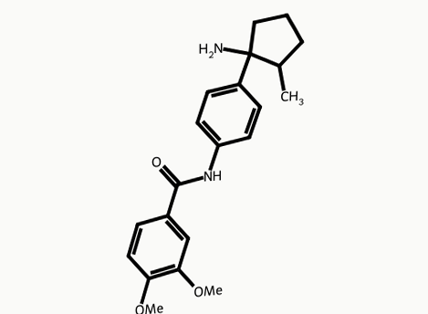 COc1ccc(C(=O)Nc2ccc(C3(N)CCCC3C)cc2)cc1OC